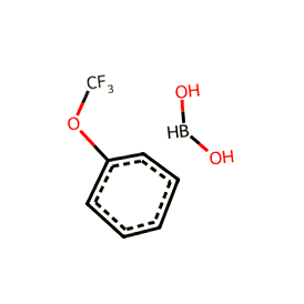 FC(F)(F)Oc1ccccc1.OBO